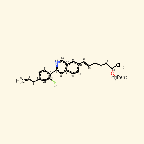 C=CCc1ccc(-c2cc3ccc(/C=C/CCCC(C)OCCCCC)cc3cn2)c(F)c1